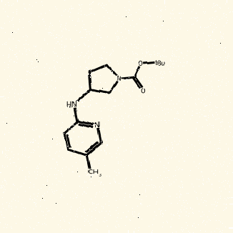 Cc1ccc(NC2CCN(C(=O)OC(C)(C)C)C2)nc1